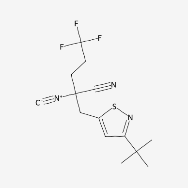 [C-]#[N+]C(C#N)(CCC(F)(F)F)Cc1cc(C(C)(C)C)ns1